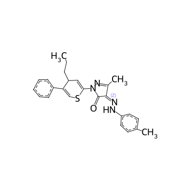 CCCC1C=C(N2N=C(C)/C(=N/Nc3ccc(C)cc3)C2=O)SC=C1c1ccccc1